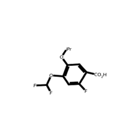 CC(C)Oc1cc(C(=O)O)c(F)cc1OC(F)F